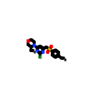 Cc1ccc(S(=O)(=O)Cc2cc(N3CCOC[C@@H]3C)nc(Cl)n2)cc1